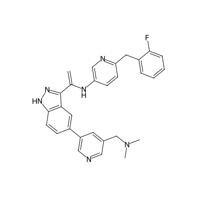 C=C(Nc1ccc(Cc2ccccc2F)nc1)c1n[nH]c2ccc(-c3cncc(CN(C)C)c3)cc12